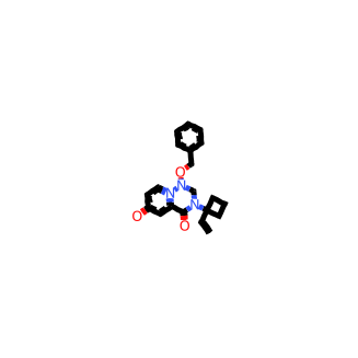 C=CC1(N2CN(OCc3ccccc3)n3ccc(=O)cc3C2=O)CCC1